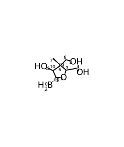 B[C@H]1OC(CO)[C@@](C)(CO)C1O